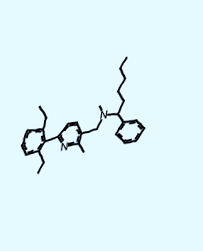 CCCCCC(c1ccccc1)N(C)Cc1ccc(-c2c(CC)cccc2CC)nc1C